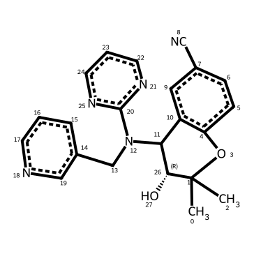 CC1(C)Oc2ccc(C#N)cc2C(N(Cc2cccnc2)c2ncccn2)[C@H]1O